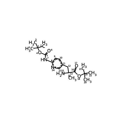 CC(C)(C)OC(=O)Nc1ccc(C[C@](C)(N)C(=O)OC(C)(C)C)cn1